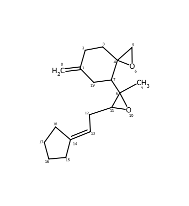 C=C1CCC2(CO2)C(C2(C)OC2CC=C2CCCC2)C1